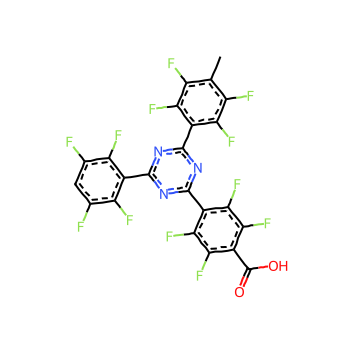 Cc1c(F)c(F)c(-c2nc(-c3c(F)c(F)cc(F)c3F)nc(-c3c(F)c(F)c(C(=O)O)c(F)c3F)n2)c(F)c1F